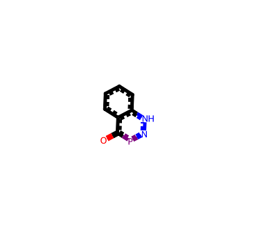 O=c1pn[nH]c2ccccc12